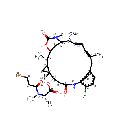 CO[C@@H]1/C=C/C=C(\C)Cc2ccc(Cl)c(c2)NC(=O)C[C@H](OC(=O)[C@H](C)N(C)C(=O)CCS)C2(C)CC2[C@H](C)C2C[C@]13CN3C(=O)O2